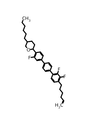 C=CCCCCc1ccc(-c2ccc(-c3ccc(C4CCC(CCCCCC)CO4)c(F)c3)cc2)c(F)c1F